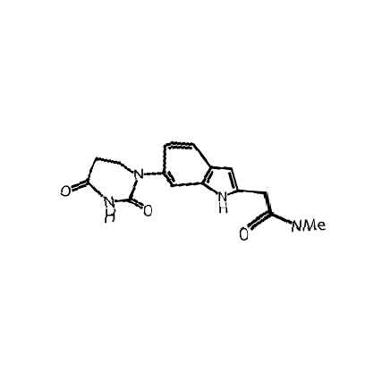 CNC(=O)Cc1cc2ccc(N3CCC(=O)NC3=O)cc2[nH]1